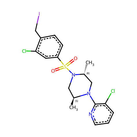 C[C@@H]1CN(c2ncccc2Cl)[C@@H](C)CN1S(=O)(=O)c1ccc(CI)c(Cl)c1